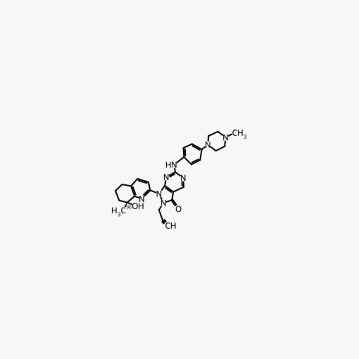 C#CCn1c(=O)c2cnc(Nc3ccc(N4CCN(C)CC4)cc3)nc2n1-c1ccc2c(n1)[C@](C)(O)CCC2